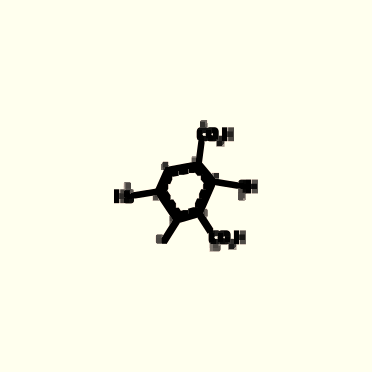 Cc1c(S)cc(C(=O)O)c(S)c1C(=O)O